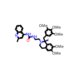 COc1cc2c(cc1OC)C(I)(Cc1cc(OC)c(OC)c(OC)c1)N(CCNC(=O)Nc1cc(C)nc3ccccc13)CC2